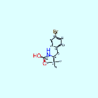 CC(C)(C)C(Cc1ccc(Br)cc1)NC(=O)O